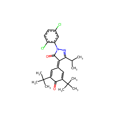 CC(C)C1=NN(c2cc(Cl)ccc2Cl)C(=O)C1=C1C=C(C(C)(C)C)C(=O)C(C(C)(C)C)=C1